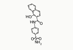 NS(=O)(=O)c1ccc(NC(=O)c2ccc3ccccc3c2O)cc1